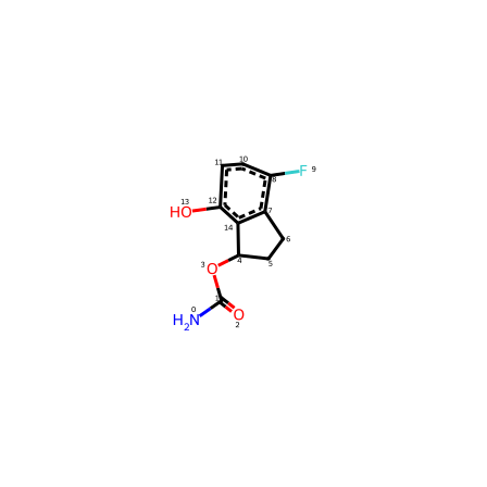 NC(=O)OC1CCc2c(F)ccc(O)c21